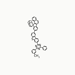 Cc1cccc(-c2nc(-c3ccccc3)nc(-c3ccc4c(c3)sc3ccc(-c5ccc6c(c5)C5(c7c-6ccc6ccccc76)C6CC7CC(C6)CC5C7)cc34)n2)c1